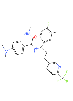 CNC(=O)[C@H](N[C@@H](CCc1ccc(C(F)(F)F)nc1)c1ccc(F)c(C)c1)c1ccc(N(C)C)cc1